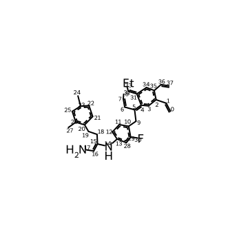 C=Cc1cc(=C(/C=C\C)Cc2ccc(N/C(=C/N)CCc3ccc(C)cc3C)cc2F)/c(=C/CC)cc1C=C